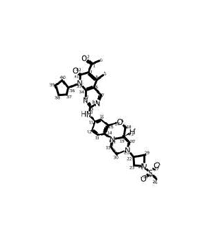 CC(=O)c1c(C)c2cnc(Nc3ccc4c(c3)OC[C@@H]3CN(C5CN(S(C)(=O)=O)C5)CCN43)nc2n(C2CCCC2)c1=O